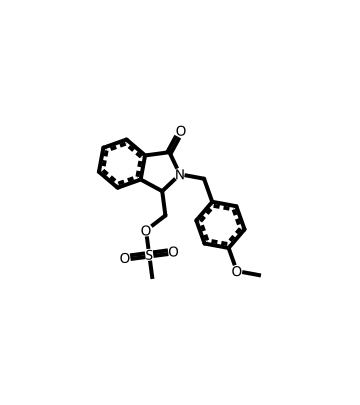 COc1ccc(CN2C(=O)c3ccccc3C2COS(C)(=O)=O)cc1